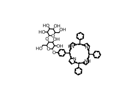 OCC1O[C@@H](O[C@@H]2C(CO)O[C@@H](Oc3ccc(-c4c5nc(c(-c6ccccc6)c6ccc([nH]6)c(-c6ccccc6)c6nc(c(-c7ccccc7)c7ccc4[nH]7)C=C6)C=C5)cc3)C(O)C2O)C(O)C(O)[C@H]1O